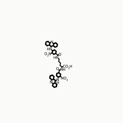 O=C(NCCCCC(NC(=O)c1ccc(Nc2c3ccccc3nc3ccccc23)c([N+](=O)[O-])c1)C(=O)O)c1ccc(Nc2c3ccccc3nc3ccccc23)c([N+](=O)[O-])c1